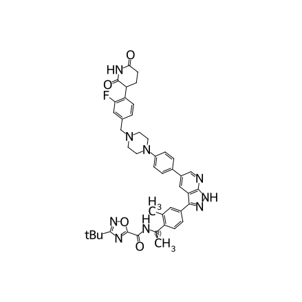 Cc1cc(-c2n[nH]c3ncc(-c4ccc(N5CCN(Cc6ccc(C7CCC(=O)NC7=O)c(F)c6)CC5)cc4)cc23)ccc1[C@@H](C)NC(=O)c1nc(C(C)(C)C)no1